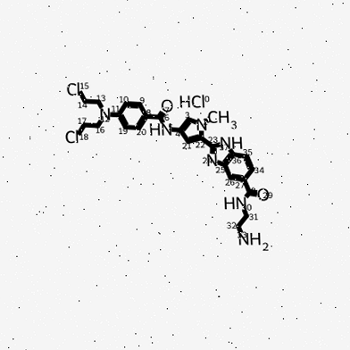 Cl.Cn1cc(NC(=O)c2ccc(N(CCCl)CCCl)cc2)cc1-c1nc2cc(C(=O)NCCN)ccc2[nH]1